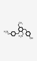 CCc1cc(Cc2ccc(O)cc2)c(ON)c(Cc2ccc(ON)cc2)c1